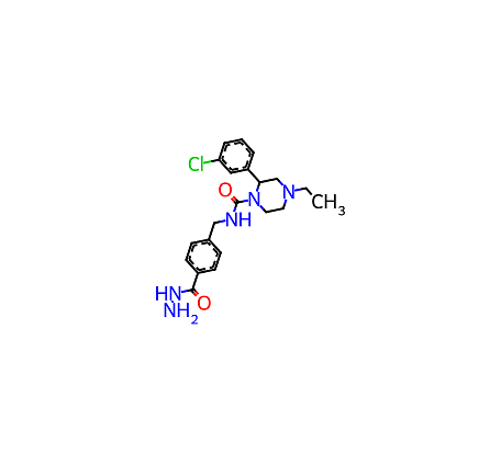 CCN1CCN(C(=O)NCc2ccc(C(=O)NN)cc2)C(c2cccc(Cl)c2)C1